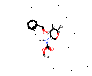 CC[C@H]1OC[C@H](N(C(C)=O)C(=O)OC(C)(C)C)[C@@H](OCc2ccccc2)[C@H]1C